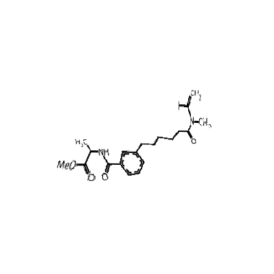 C=C(I)N(C)C(=O)CCCCCc1cccc(C(=O)N[C@H](C)C(=O)OC)c1